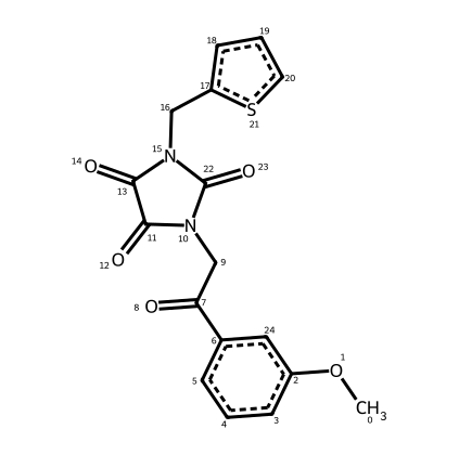 COc1cccc(C(=O)CN2C(=O)C(=O)N(Cc3cccs3)C2=O)c1